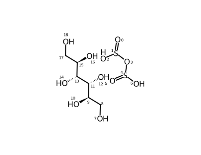 O=S(O)OS(=O)O.OC[C@@H](O)[C@@H](O)[C@H](O)[C@H](O)CO